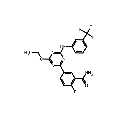 CCOc1nc(Nc2cccc(C(F)(F)F)c2)nc(-c2ccc(F)c(C(N)=O)c2)n1